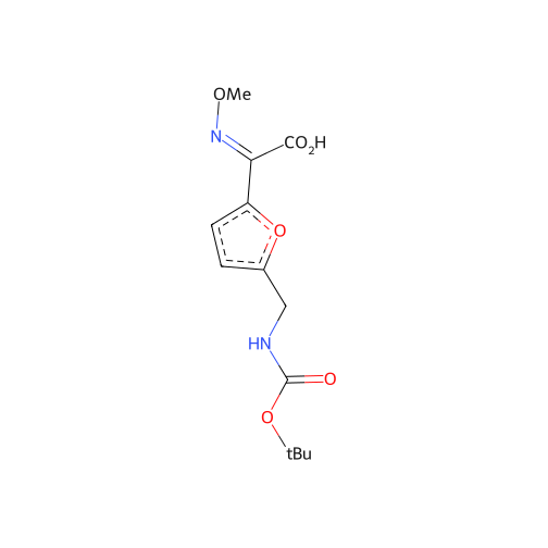 CO/N=C(\C(=O)O)c1ccc(CNC(=O)OC(C)(C)C)o1